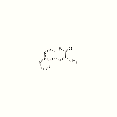 CC(=Cc1cccc2ccccc12)C(=O)F